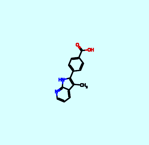 Cc1c(-c2ccc(C(=O)O)cc2)[nH]c2ncccc12